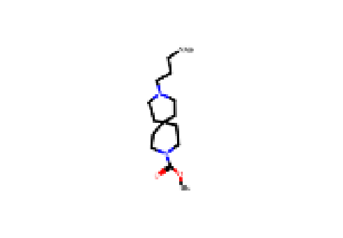 CNCCCN1CCC2(CC1)CCN(C(=O)OC(C)(C)C)CC2